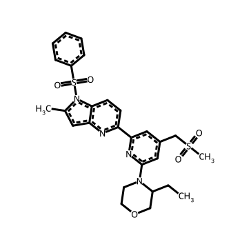 CCC1COCCN1c1cc(CS(C)(=O)=O)cc(-c2ccc3c(cc(C)n3S(=O)(=O)c3ccccc3)n2)n1